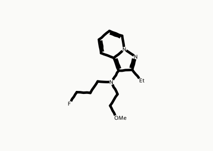 CCc1nn2ccccc2c1N(CCCF)CCOC